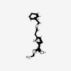 CCOC(=O)c1ccc(CCOCc2ccccc2)[nH]1